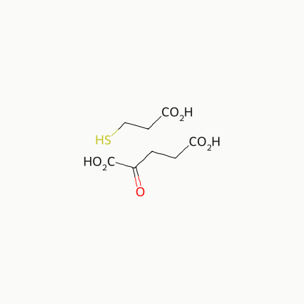 O=C(O)CCC(=O)C(=O)O.O=C(O)CCS